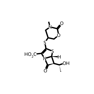 C[C@@H](O)[C@H]1C(=O)N2C(C(=O)O)=C(SC3COC(=O)N(C)C3)S[C@H]12